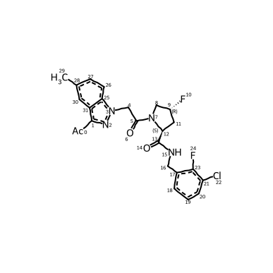 CC(=O)c1nn(CC(=O)N2C[C@H](F)C[C@H]2C(=O)NCc2cccc(Cl)c2F)c2ccc(C)cc12